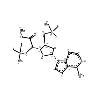 CC(C)(C)OC(=O)C(O[Si](C)(C)C(C)(C)C)[C@H]1O[C@@H](n2cnc3c(N)ncnc32)C[C@@H]1O[Si](C)(C)C(C)(C)C